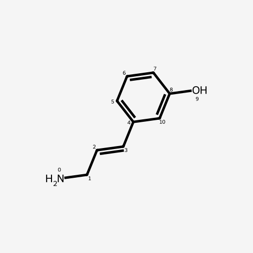 NCC=Cc1cccc(O)c1